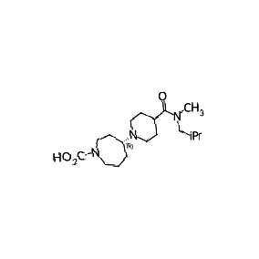 CC(C)CN(C)C(=O)C1CCN([C@@H]2CCCN(C(=O)O)CC2)CC1